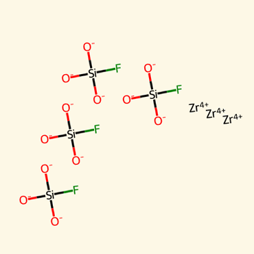 [O-][Si]([O-])([O-])F.[O-][Si]([O-])([O-])F.[O-][Si]([O-])([O-])F.[O-][Si]([O-])([O-])F.[Zr+4].[Zr+4].[Zr+4]